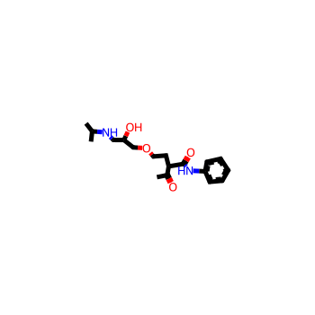 CC(=O)C(CCOCC(O)CNC(C)C)C(=O)Nc1ccccc1